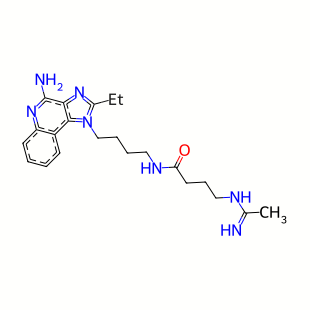 CCc1nc2c(N)nc3ccccc3c2n1CCCCNC(=O)CCCNC(C)=N